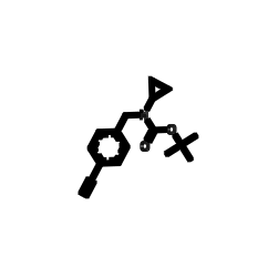 C#Cc1ccc(CN(C(=O)OC(C)(C)C)C2CC2)cc1